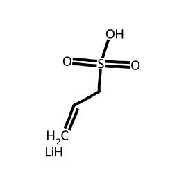 C=CCS(=O)(=O)O.[LiH]